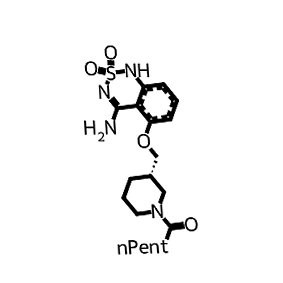 CCCCCC(=O)N1CCC[C@H](COc2cccc3c2C(N)=NS(=O)(=O)N3)C1